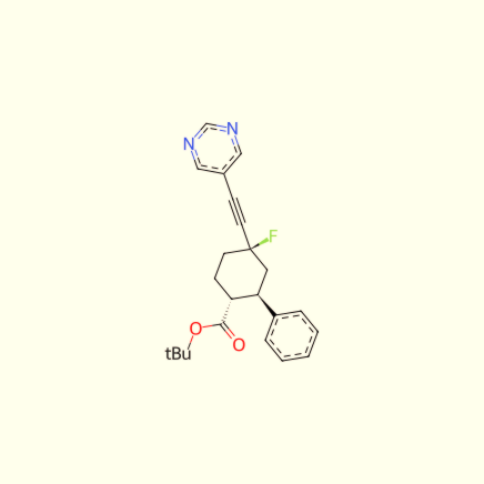 CC(C)(C)OC(=O)[C@@H]1CC[C@](F)(C#Cc2cncnc2)C[C@H]1c1ccccc1